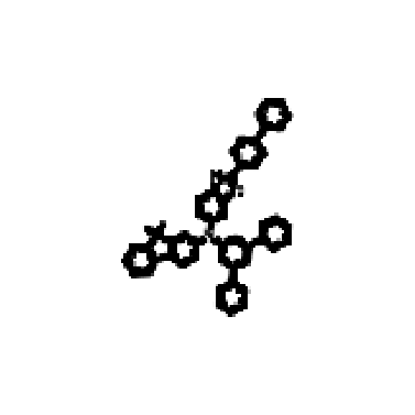 CC1(C)c2ccccc2-c2ccc(N(c3cc(-c4ccccc4)cc(-c4ccccc4)c3)c3ccc4nc(-c5ccc(-c6ccccc6)cc5)oc4c3)cc21